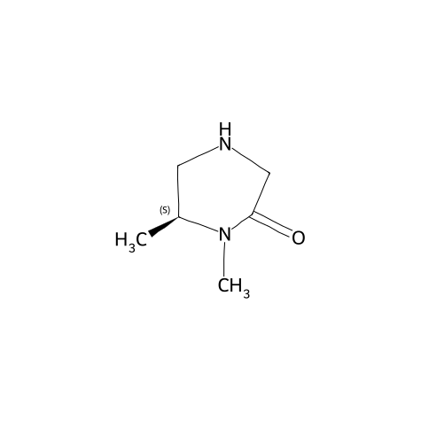 C[C@H]1CNCC(=O)N1C